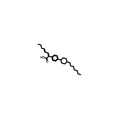 CCCC=CC=C(C(=O)O)c1ccc(C2CCC(CCCCCCC)CC2)cc1